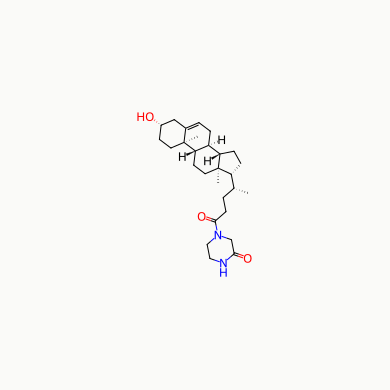 C[C@H](CCC(=O)N1CCNC(=O)C1)[C@H]1CC[C@H]2[C@@H]3CC=C4C[C@@H](O)CC[C@]4(C)[C@H]3CC[C@]12C